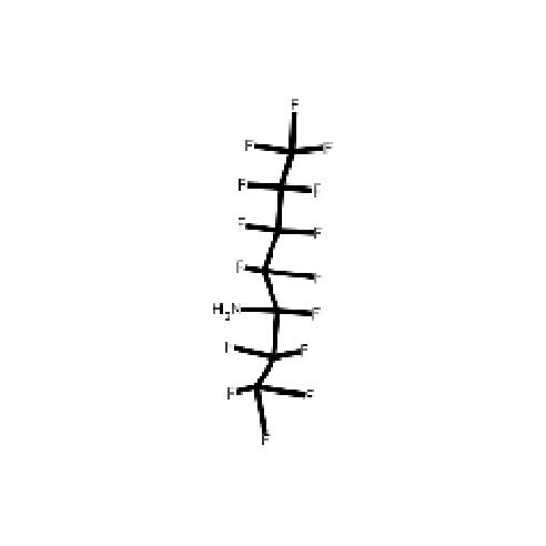 NC(F)(C(F)(F)C(F)(F)F)C(F)(F)C(F)(F)C(F)(F)C(F)(F)F